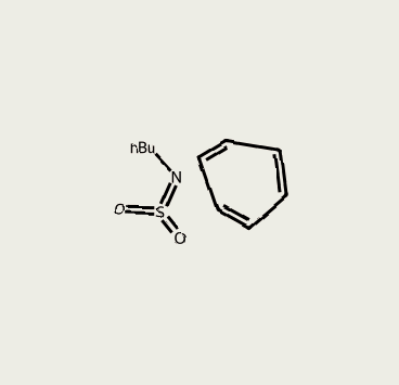 CCCCN=S(=O)=O.c1ccccc1